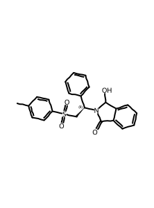 Cc1ccc(S(=O)(=O)C[C@@H](c2ccccc2)N2C(=O)c3ccccc3C2O)cc1